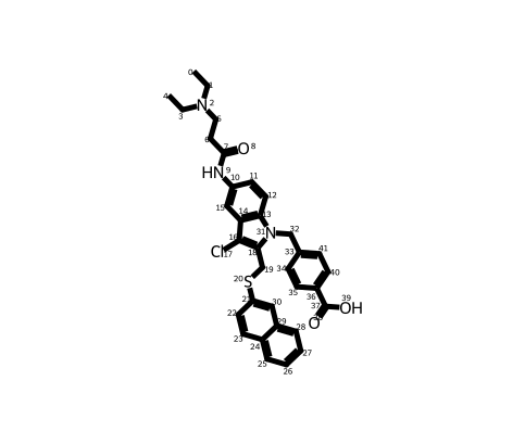 CCN(CC)CCC(=O)Nc1ccc2c(c1)c(Cl)c(CSc1ccc3ccccc3c1)n2Cc1ccc(C(=O)O)cc1